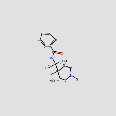 CCC(NC(=O)c1ccccc1)(C(=O)O)C1(SN=O)CCN(C)CC1